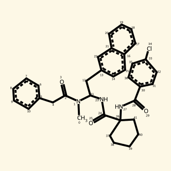 CN(C(=O)Cc1ccccc1)C(Cc1ccc2ccccc2c1)NC(=O)C1(NC(=O)c2ccc(Cl)cc2)CCCCC1